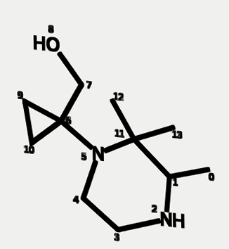 CC1NCCN(C2(CO)CC2)C1(C)C